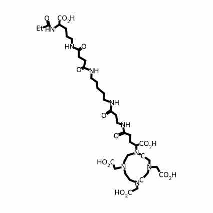 CCC(=O)NC(CCCNC(=O)CCC(=O)NCCCCCNC(=O)CCNC(=O)CCC(C(=O)O)N1CCN(CC(=O)O)CCN(CC(=O)O)CCN(CC(=O)O)CC1)C(=O)O